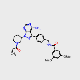 C=CC(=O)N1CCCC(n2nc(-c3ccc(CNC(=O)c4cc(OC)cc(OC)c4)cc3)c3c(N)ncnc32)C1